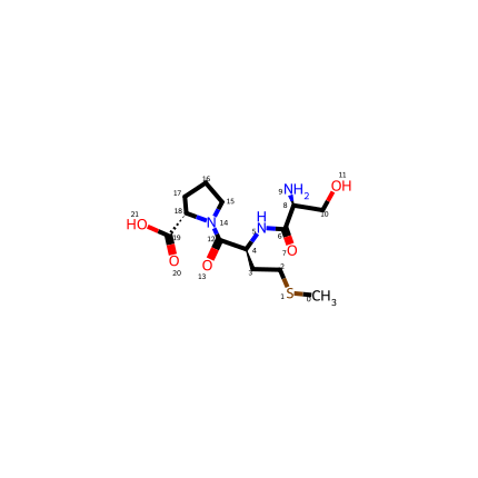 CSCC[C@H](NC(=O)[C@@H](N)CO)C(=O)N1CCC[C@H]1C(=O)O